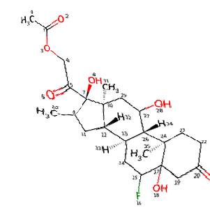 CC(=O)OCC(=O)[C@@]1(O)C(C)C[C@H]2[C@@H]3CC(F)C4(O)CC(=O)CC[C@]4(C)[C@H]3C(O)C[C@@]21C